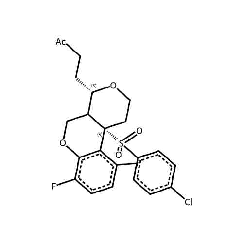 CC(=O)CC[C@@H]1OCC[C@@]2(S(=O)(=O)c3ccc(Cl)cc3)c3c(F)ccc(F)c3OCC12